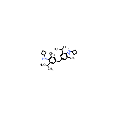 Cc1cc(Cc2cc(C)c(NC3CCC3)c(C(C)C)c2)cc(C(C)C)c1NC1CCC1